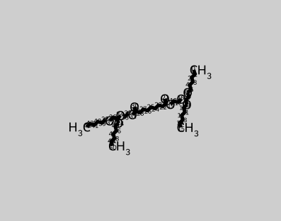 CCCCCCOCC(OCCCCCC)OCCOC(=O)CCCCCCCC(=O)OCCOC(COCCCCCC)OCCCCCC